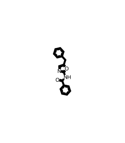 O=C(Nc1ncc(Cc2ccccc2)o1)c1ccccc1